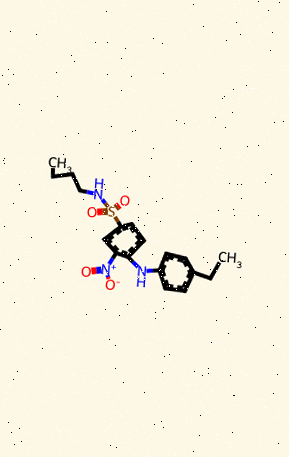 CCCCNS(=O)(=O)c1ccc(Nc2ccc(CC)cc2)c([N+](=O)[O-])c1